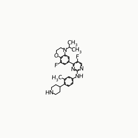 Cc1cc(Nc2ncc(F)c(-c3cc(F)c4c(c3)N(C(C)C)CCO4)n2)ccc1C1CCNCC1